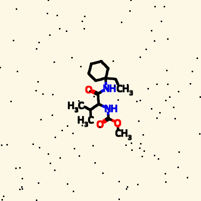 CCC1(NC(=O)C(NC(=O)OC)C(C)C)CCCCC1